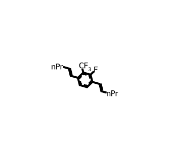 CCC/C=C/c1ccc(/C=C/CCC)c(C(F)(F)F)c1F